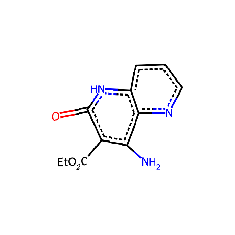 CCOC(=O)c1c(N)c2ncccc2[nH]c1=O